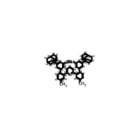 Cc1ccc(-c2cc(C(C)(C)C)cc(C34CC5CC(CC(C5)C3)C4)c2)c(-c2cccc(-c3cc(C)ccc3-c3cc(C(C)(C)C)cc(C45CC6CC(CC(C6)C4)C5)c3)n2)c1